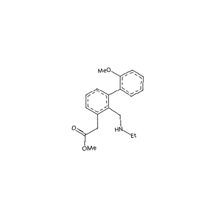 CCNCc1c(CC(=O)OC)cccc1-c1ccccc1OC